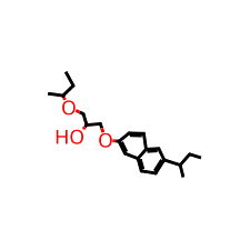 CCC(C)OCC(O)COc1ccc2cc(C(C)CC)ccc2c1